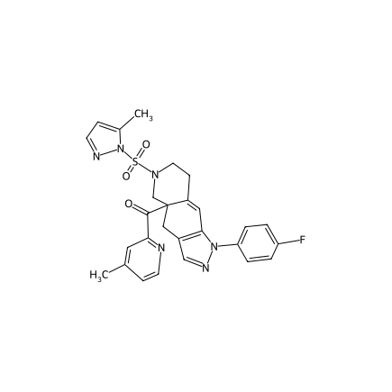 Cc1ccnc(C(=O)C23Cc4cnn(-c5ccc(F)cc5)c4C=C2CCN(S(=O)(=O)n2nccc2C)C3)c1